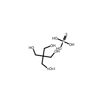 CCCCCCCCCC(CO)(CO)CO.OP(O)(O)=S